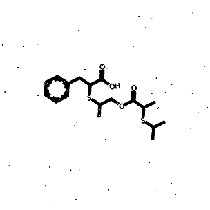 CC(C)SC(C)C(=O)OCC(C)SC(Cc1ccccc1)C(=O)O